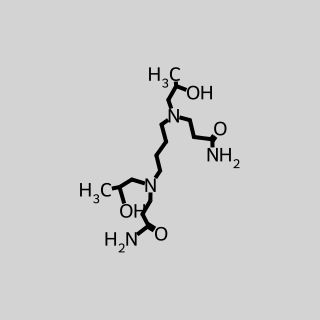 CC(O)CN(CCCCN(CCC(N)=O)CC(C)O)CCC(N)=O